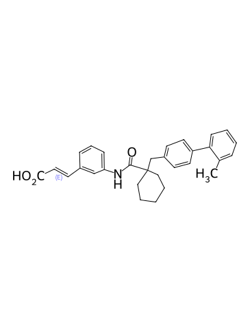 Cc1ccccc1-c1ccc(CC2(C(=O)Nc3cccc(/C=C/C(=O)O)c3)CCCCC2)cc1